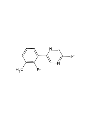 CCc1c(C)cccc1-c1cnc(C(C)C)cn1